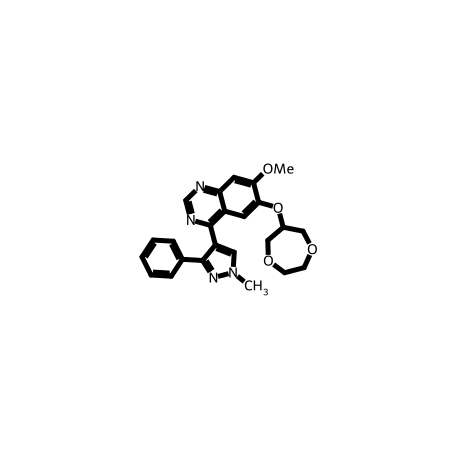 COc1cc2ncnc(-c3cn(C)nc3-c3ccccc3)c2cc1OC1COCCOC1